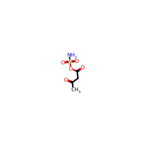 CC(=O)CC(=O)OS(N)(=O)=O